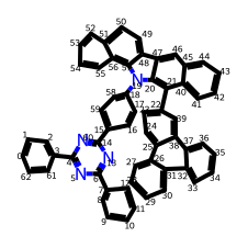 c1ccc(-c2nc(-c3ccccc3)nc(-c3ccc(-n4c5c(-c6ccc7c8ccccc8c8ccccc8c7c6)c6ccccc6cc5c5ccc6ccccc6c54)cc3)n2)cc1